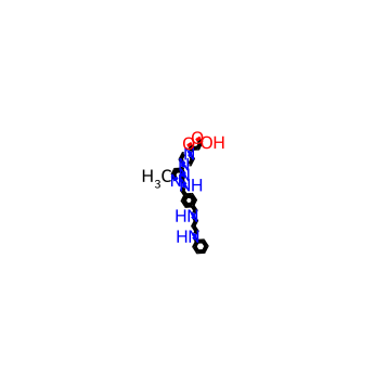 Cc1cc(N2CCN(C(=O)CC(=O)O)CC2)nc(NCc2ccc(CNCCCNC3CCCCC3)cc2)n1